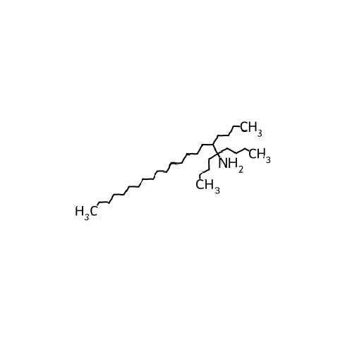 CCCCCCCCCCCCCCCCC(CCCC)C(N)(CCCC)CCCC